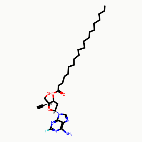 C#C[C@]1(CO)O[C@@H](n2cnc3c(N)nc(F)nc32)CC1OC(=O)CCCCCCCCCCCCCCCCCCC